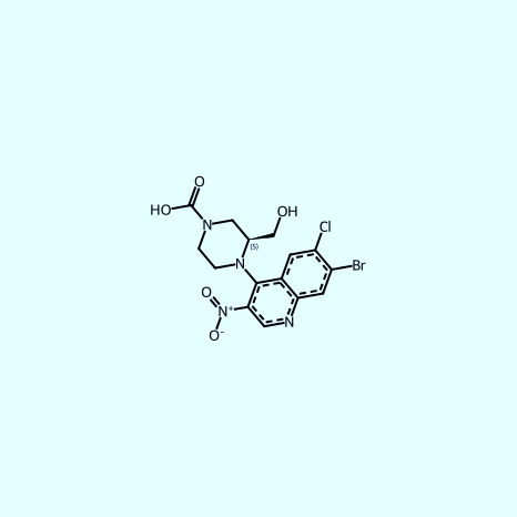 O=C(O)N1CCN(c2c([N+](=O)[O-])cnc3cc(Br)c(Cl)cc23)[C@H](CO)C1